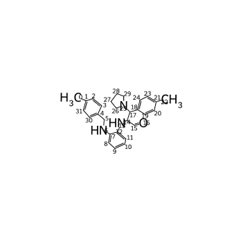 Cc1ccc(CNc2ccccc2NC(C=O)C(c2ccc(C)cc2)N2CCCC2)cc1